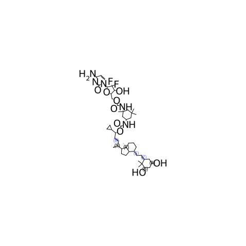 C[C@@H](/C=C/C(OC(=O)NC1CC(C)(C)CC(C)(NC(=O)OCC2OC(n3ccc(N)nc3=O)C(F)(F)C2O)C1)C1CC1)C1CCC2/C(=C/C=C3/C[C@@H](O)C[C@H](O)C3(C)C)CCC[C@@]21C